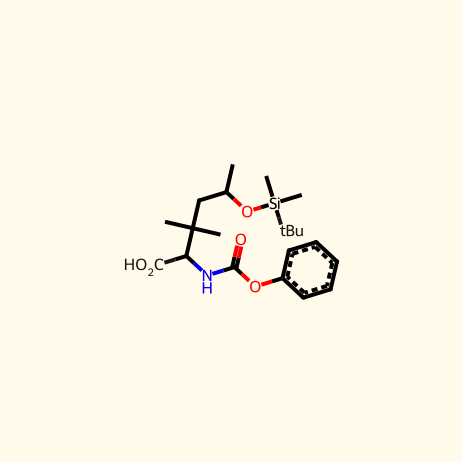 CC(CC(C)(C)C(NC(=O)Oc1ccccc1)C(=O)O)O[Si](C)(C)C(C)(C)C